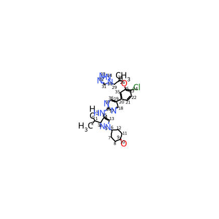 CC(C)c1nn(C2CCC(=O)CC2)cc1Nc1ncc(-c2ccc(Cl)c(O[C@@H](C)Cn3cnnn3)c2)cn1